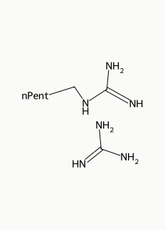 CCCCCCNC(=N)N.N=C(N)N